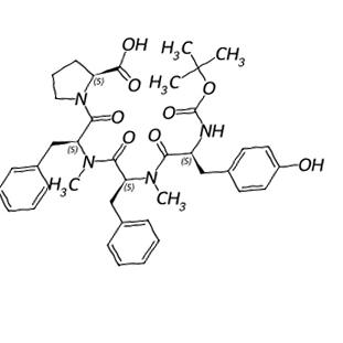 CN(C(=O)[C@H](Cc1ccc(O)cc1)NC(=O)OC(C)(C)C)[C@@H](Cc1ccccc1)C(=O)N(C)[C@@H](Cc1ccccc1)C(=O)N1CCC[C@H]1C(=O)O